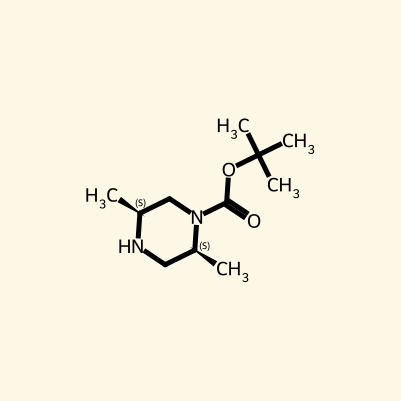 C[C@H]1CN(C(=O)OC(C)(C)C)[C@@H](C)CN1